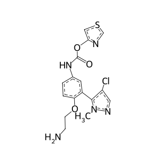 Cn1ncc(Cl)c1-c1cc(NC(=O)Oc2cscn2)ccc1OCCN